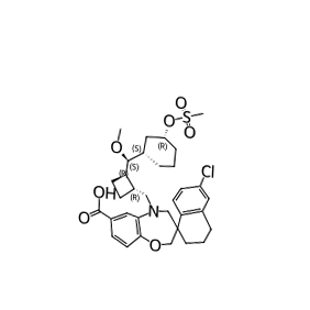 CO[C@@H]([C@H]1CCC[C@@H](OS(C)(=O)=O)C1)[C@@H]1CC[C@H]1CN1CC2(CCCc3cc(Cl)ccc32)COc2ccc(C(=O)O)cc21